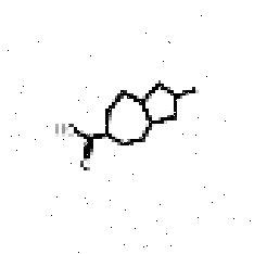 CC1CC2CCC(C(=O)O)CCC2C1